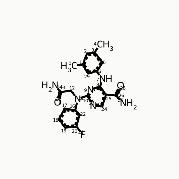 Cc1cc(C)cc(Nc2nc(N(CC(N)=O)c3cccc(F)c3)ncc2C(N)=O)c1